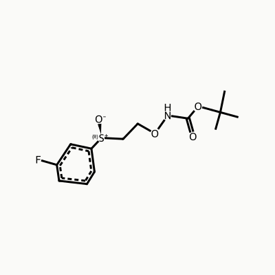 CC(C)(C)OC(=O)NOCC[S@+]([O-])c1cccc(F)c1